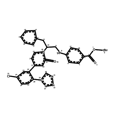 CC(C)(C)OC(=O)c1ccc(NCC(Cc2ccccc2)n2ccc(-c3cc(Cl)ccc3-n3cnnn3)cc2=O)cc1